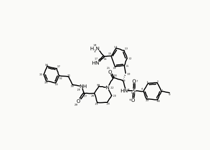 Cc1ccc(S(=O)(=O)N[C@@H](Cc2cccc(C(=N)N)c2)C(=O)N2CCCC(C(=O)NCCc3ccccc3)C2)cc1